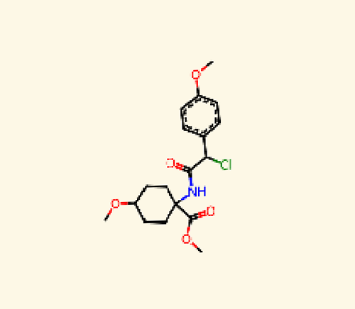 COC(=O)C1(NC(=O)C(Cl)c2ccc(OC)cc2)CCC(OC)CC1